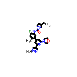 Cc1cc(F)c(NC(=O)N2CC=C(CC(F)(F)F)C2)cc1-c1cc(-c2cnn(C)c2)nc(N2CCOCC2)c1